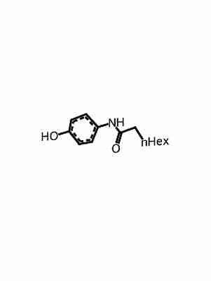 CCCCCCCC(=O)Nc1ccc(O)cc1